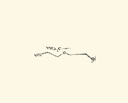 CC(=O)O.SCCOCCS